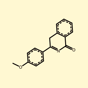 COc1ccc(C2=NC(=O)c3ccccc3C2)cc1